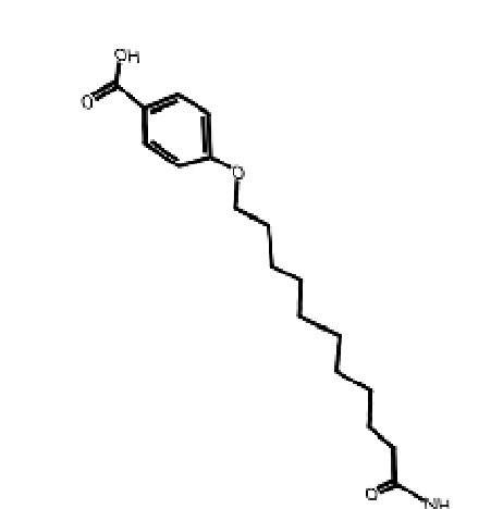 NC(=O)CCCCCCCCCCOc1ccc(C(=O)O)cc1